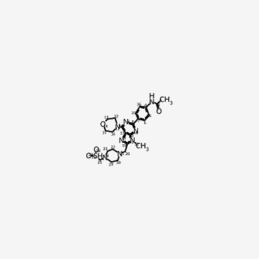 CC(=O)Nc1ccc(-c2nc(N3CCOCC3)c3nc(CN4CCN(C[SH](=O)=O)CC4)n(C)c3n2)cc1